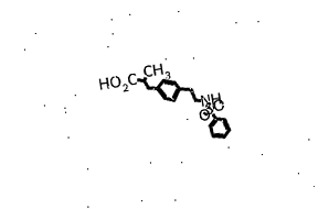 CC(Cc1ccc(CCNS(=O)(=O)c2ccccc2)cc1)C(=O)O